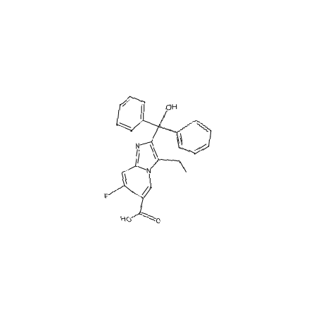 CCc1c(C(O)(c2ccccc2)c2ccccc2)nc2cc(F)c(C(=O)O)cn12